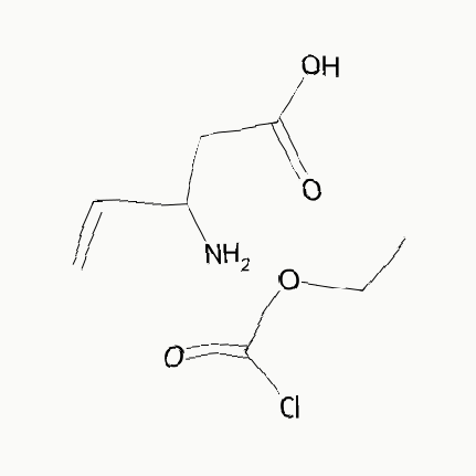 C=CC(N)CC(=O)O.CCOC(=O)Cl